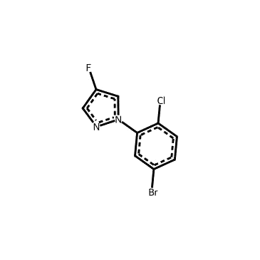 Fc1cnn(-c2cc(Br)ccc2Cl)c1